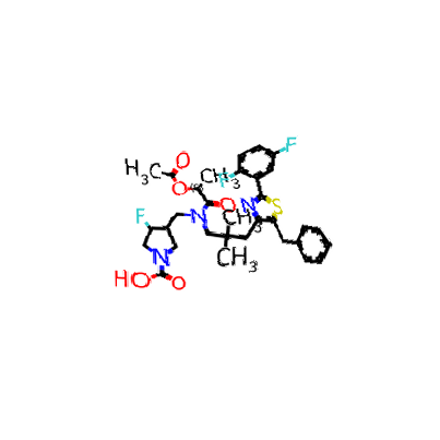 CC(=O)O[C@@H](C)C(=O)N(CC1CN(C(=O)O)CC1F)CC(C)(C)Cc1nc(-c2cc(F)ccc2F)sc1Cc1ccccc1